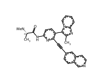 CN[C@@H](C)C(=O)Nc1ccc(-c2c(C)nc3ccccn23)c(C#Cc2ccc3cnccc3c2)n1